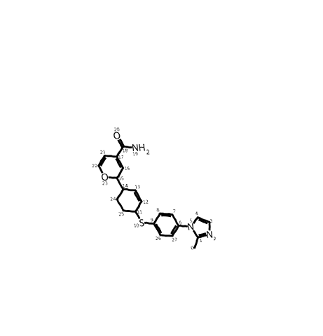 Cc1nccn1-c1ccc(SC2C=CC(C3C=C(C(N)=O)C=CO3)CC2)cc1